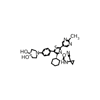 Cc1ncc(-c2nc([C@@H]3CCCC[C@H]3C(=O)NC3(C#N)CC3)c(-c3ccc(N4CCS(O)(O)CC4)cc3)s2)cn1